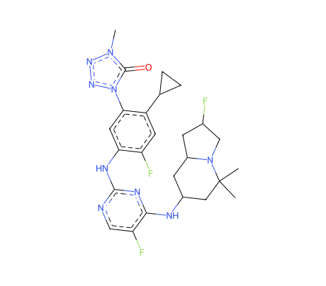 Cn1nnn(-c2cc(Nc3ncc(F)c(NC4CC5CC(F)CN5C(C)(C)C4)n3)c(F)cc2C2CC2)c1=O